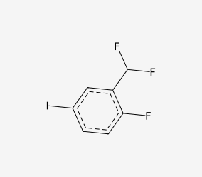 Fc1ccc(I)cc1C(F)F